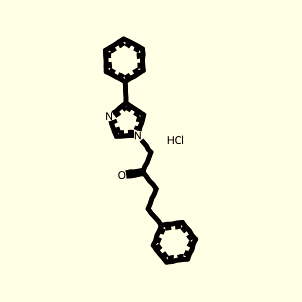 Cl.O=C(CCc1ccccc1)Cn1cnc(-c2ccccc2)c1